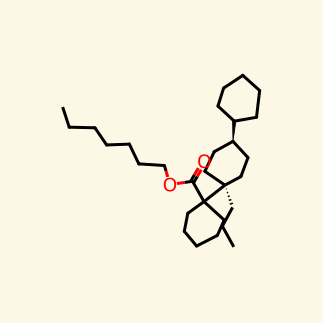 CCCCCCCOC(=O)C1([C@]2(CCC)CC[C@H](C3CCCCC3)CC2)CCCCC1